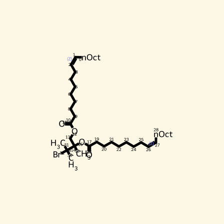 CCCCCCCC/C=C\CCCCCCCC(=O)OCC(C)(OC(=O)CCCCCCC/C=C\CCCCCCCC)C(C)(C)Br